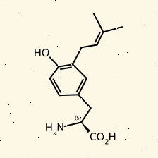 CC(C)=CCc1cc(C[C@H](N)C(=O)O)ccc1O